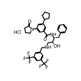 Cl.O=C(N[C@@H](Cc1ccccc1)[C@@H](O)CNCc1cc(C(F)(F)F)cc(C(F)(F)F)c1)c1cc(C2CCCC2)cc(N2CCCC2=O)c1